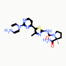 C=CN(/C=C\N)c1nccc(-c2sc(NC(=O)N3CCC[C@@]3(C)C(N)=O)nc2C)n1